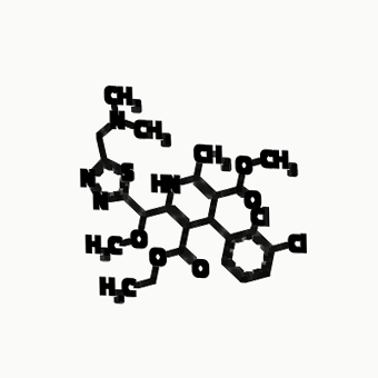 CCOC(=O)C1=C(C(OC)c2nnc(CN(C)C)s2)NC(C)=C(C(=O)OC)C1c1cccc(Cl)c1Cl